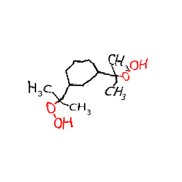 CC(C)(OO)C1CCCC(C(C)(C)OO)C1